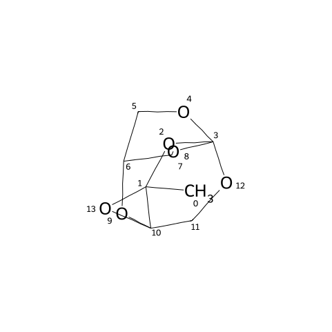 CC12OC34OCC(CO3)OC1(CO4)O2